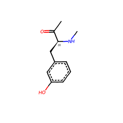 CN[C@@H](Cc1cccc(O)c1)C(C)=O